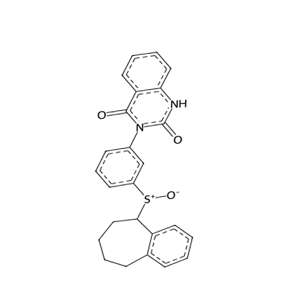 O=c1[nH]c2ccccc2c(=O)n1-c1cccc([S+]([O-])C2CCCCc3ccccc32)c1